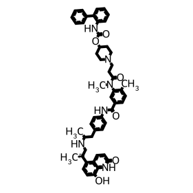 Cc1ccc(C(=O)Nc2ccc(CC(C)NC[C@H](C)c3ccc(O)c4[nH]c(=O)ccc34)cc2)cc1N(C)C(=O)CCN1CCC(OC(=O)Nc2ccccc2-c2ccccc2)CC1